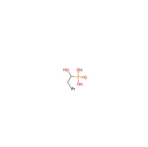 CC(C)CC(O)P(=O)(O)O